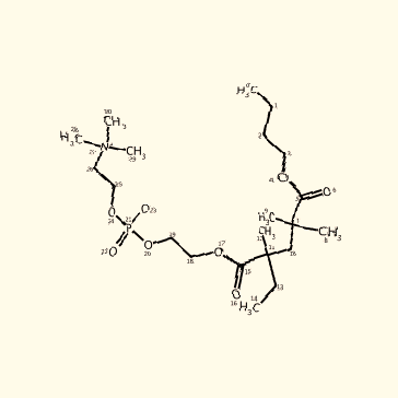 CCCCOC(=O)C(C)(C)CC(C)(CC)C(=O)OCCOP(=O)([O-])OCC[N+](C)(C)C